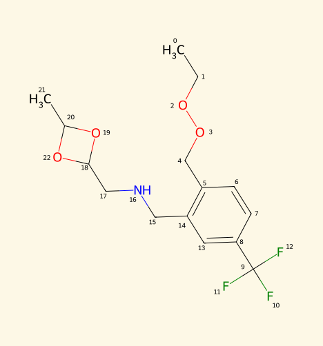 CCOOCc1ccc(C(F)(F)F)cc1CNCC1OC(C)O1